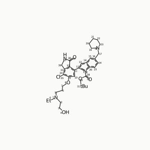 CCN(CCO)CCCOc1cc(-c2cc3cc(CN4CCCCC4)ccc3n2C(=O)OC(C)(C)C)c2c(c1Cl)CNC2=O